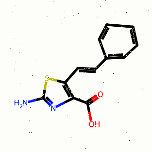 Nc1nc(C(=O)O)c(C=Cc2ccccc2)s1